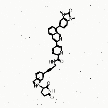 Cn1c(=O)n(C)c2cc(-c3cccc4cc(-c5ccc(C(=O)NCC#Cc6ccc7cnn(C8CCC(=O)NC8=O)c7c6)nc5)ncc34)ccc21